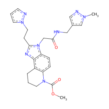 COC(=O)N1CCCc2c1ccc1c2nc(CCn2cccn2)n1CC(=O)NCc1cnn(C)c1